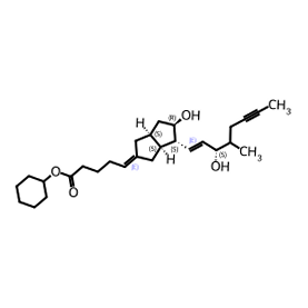 CC#CCC(C)[C@H](O)/C=C/[C@@H]1[C@H]2C/C(=C/CCCC(=O)OC3CCCCC3)C[C@H]2C[C@H]1O